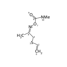 C=CSCC(C)=NOC(=O)NC